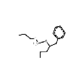 CCCO[SiH2]OC(CCC)Cc1ccccc1